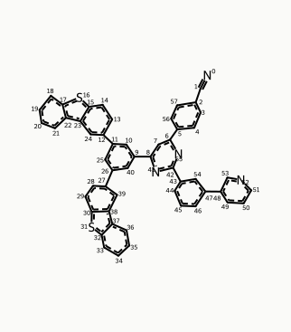 N#Cc1ccc(-c2cc(-c3cc(-c4ccc5sc6ccccc6c5c4)cc(-c4ccc5sc6ccccc6c5c4)c3)nc(-c3cccc(-c4cccnc4)c3)n2)cc1